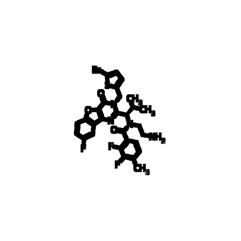 Cc1ccc(C(=O)N(CCN)[C@@H](c2nc3c(oc4ccc(F)cc43)c(=O)n2Cc2ccc(Br)s2)C(C)C)c(F)c1F